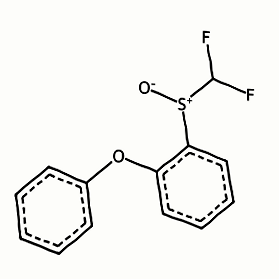 [O-][S+](c1ccccc1Oc1ccccc1)C(F)F